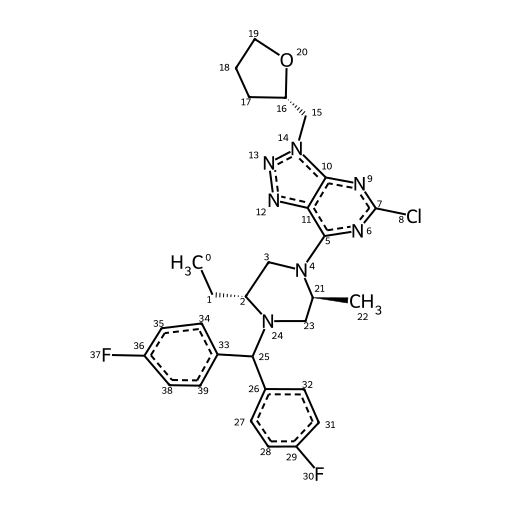 CC[C@@H]1CN(c2nc(Cl)nc3c2nnn3C[C@@H]2CCCO2)[C@@H](C)CN1C(c1ccc(F)cc1)c1ccc(F)cc1